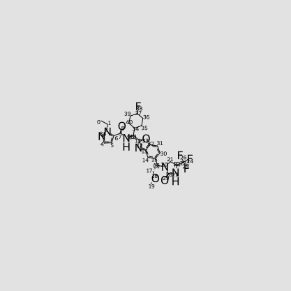 CCn1nccc1C(=O)N[C@H](c1nc2cc([C@@H](COC)N3C[C@@H](C(F)(F)F)NC3=O)ccc2o1)C1CCC(F)CC1